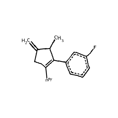 C=C1CC(CCC)=C(c2cccc(F)c2)C1C